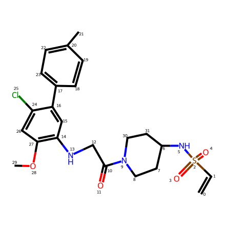 C=CS(=O)(=O)NC1CCN(C(=O)CNc2cc(-c3ccc(C)cc3)c(Cl)cc2OC)CC1